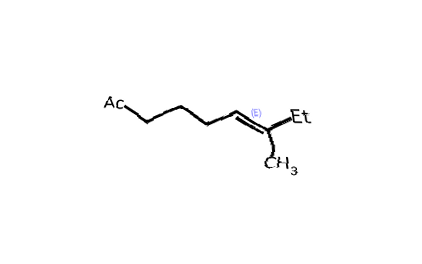 CC/C(C)=C/CCCC(C)=O